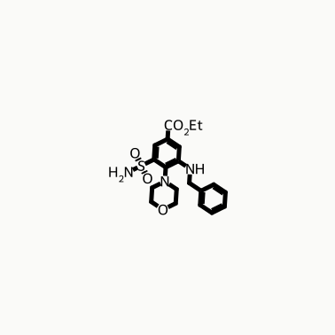 CCOC(=O)c1cc(NCc2ccccc2)c(N2CCOCC2)c(S(N)(=O)=O)c1